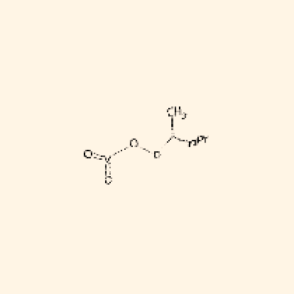 CCCC(C)O[O][V](=[O])=[O]